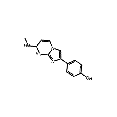 CNC1C=Cn2cc(-c3ccc(O)cc3)nc2N1